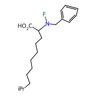 CC(C)CCCCCCCC(C(=O)O)N(F)Cc1ccccc1